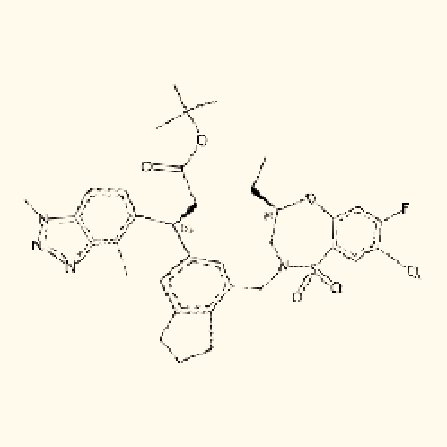 CC[C@@H]1CN(Cc2cc([C@H](CC(=O)OC(C)(C)C)c3ccc4c(nnn4C)c3C)cc3c2CCC3)S(=O)(=O)c2cc(Cl)c(F)cc2O1